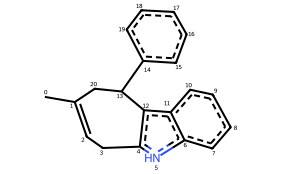 CC1=CCc2[nH]c3ccccc3c2C(c2ccccc2)C1